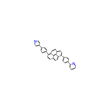 c1ccc(-c2ccc(-c3ccc4ccc5c(-c6ccc(-c7ccncc7)cc6)ccc6ccc3c4c65)cc2)nc1